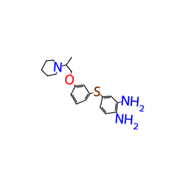 CC(COc1cccc(Sc2ccc(N)c(N)c2)c1)N1CCCCC1